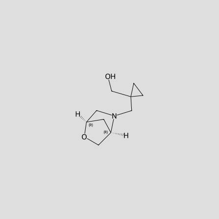 OCC1(CN2C[C@H]3C[C@@H]2CO3)CC1